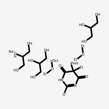 CCCC(C)C1(CC)C(=O)N=C([O-])NC1=O.CCCCCCCCOCC.CCOCC.OCC(O)CO.OCC(O)CO.OCC(O)CO.[Na+]